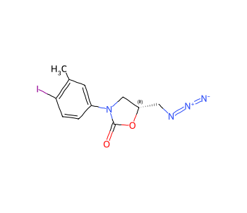 Cc1cc(N2C[C@H](CN=[N+]=[N-])OC2=O)ccc1I